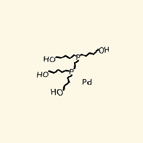 OCCCCCP(CCCCCO)CCCP(CCCCCO)CCCCCO.[Pd]